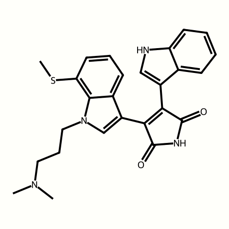 CSc1cccc2c(C3=C(c4c[nH]c5ccccc45)C(=O)NC3=O)cn(CCCN(C)C)c12